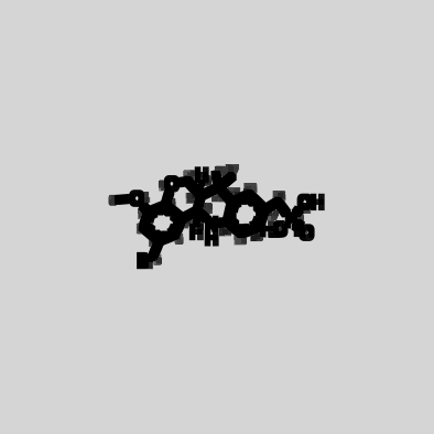 COc1cc(Br)cc2c1OC[C@@H]1[C@@H]2Nc2ccc(CP(=O)(O)O)cc2C1(C)C